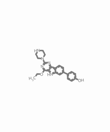 CCOc1nc(N2CCNCC2)nc2c1[nH]c1cc(-c3ccc(O)cc3)ccc12